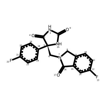 O=C1NC(=O)[C@@](CN2Cc3ccc(F)cc3C2=O)(c2ccc(F)cc2)N1